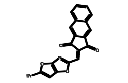 CC(C)c1cc2oc(C=C3C(=O)c4cc5ccccc5cc4C3=O)nc2o1